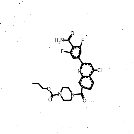 CCCOC(=O)N1CCN(C(=O)c2ccc3c(Cl)cc(-c4cc(F)c(C(N)=O)c(F)c4)nc3c2)CC1